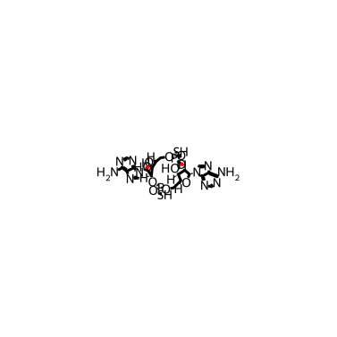 Nc1ncnc2c1ncn2[C@@H]1O[C@@H]2COP(=O)(S)O[C@@H]3[C@H](O)[C@@H](COP(=O)(S)O[C@@H]1[C@@H]2O)O[C@H]3n1cnc2c(N)ncnc21